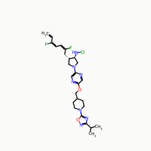 C=C/C(F)=C\C=C(\F)C[C@H]1CN(c2cnc(OCC3CCN(c4nc(C(C)C)no4)CC3)cn2)C[C@@H]1NCl